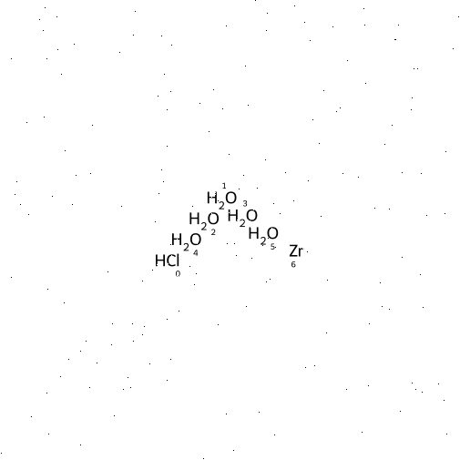 Cl.O.O.O.O.O.[Zr]